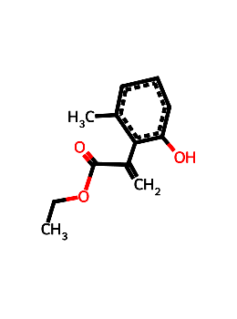 C=C(C(=O)OCC)c1c(C)cccc1O